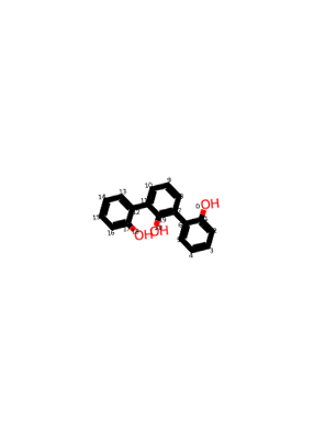 Oc1ccccc1-c1cccc(-c2ccccc2O)c1O